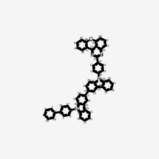 c1ccc(-c2ccc(-n3c4ccccc4c4cc(-c5ccc6c(c5)c5ccccc5n6-c5ccc(-c6nc7c8c(cccc8n6)Oc6ccccc6-7)cc5)ccc43)cc2)cc1